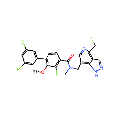 CCOc1c(-c2cc(F)cc(F)c2)ccc(C(=O)N(C)Cc2cnc(CF)c3cn[nH]c23)c1F